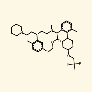 CCOC(=O)C(c1cccc(C)c1C1CCC(OCC(F)(F)F)CC1)N(C)CC[C@H](CCN1CCCCC1)c1cc(Cl)ccc1C